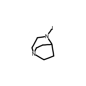 IN1CCN2CCC1CC2